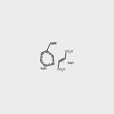 C=Cc1ccccc1.O=C(O)/C=C/C(=O)O.[NaH].[NaH]